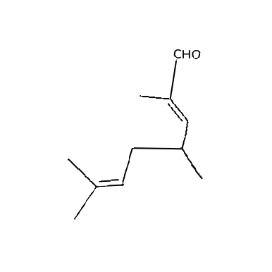 CC(C)=CCC(C)C=C(C)C=O